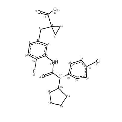 O=C(Nc1cc(CC2(C(=O)O)CC2)ccc1F)[C@H](c1ccc(Cl)cc1)C1CCCC1